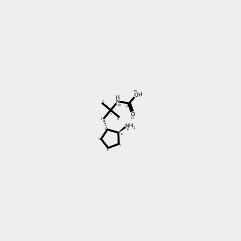 CC(C)(C[C@H]1CCC[C@@H]1N)NC(=O)O